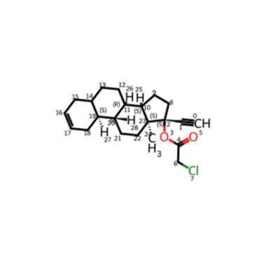 C#C[C@]1(OC(=O)CCl)CC[C@H]2[C@@H]3CCC4CC=CC[C@@H]4[C@H]3CC[C@@]21C